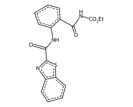 CCOC(=O)NC(=O)c1ccccc1NC(=O)c1nc2ccccc2s1